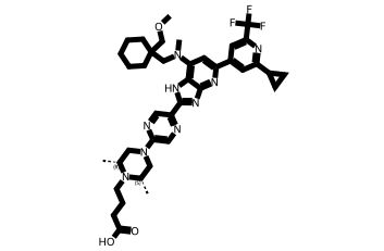 COCC1(CN(C)c2cc(-c3cc(C4CC4)nc(C(F)(F)F)c3)nc3nc(-c4cnc(N5C[C@@H](C)N(CCCC(=O)O)[C@@H](C)C5)cn4)[nH]c23)CCCCC1